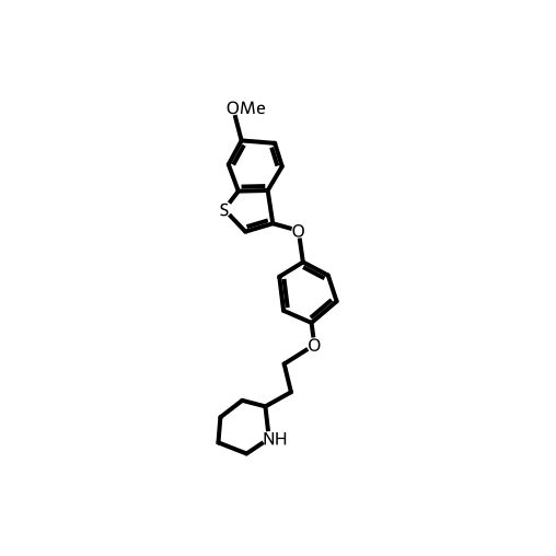 COc1ccc2c(Oc3ccc(OCCC4CCCCN4)cc3)csc2c1